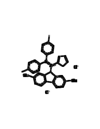 Cc1ccc([Si](c2ccc(C)cc2)=[Zr+2]([C]2=CC=CC2)[CH]2c3cc(C(C)(C)C)ccc3-c3ccc(C(C)(C)C)cc32)cc1.[Cl-].[Cl-]